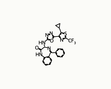 O=C1Nc2ccccc2C(c2ccccc2)=N[C@@H]1Nc1nnc(-c2nc(C(F)(F)F)sc2C2CC2)o1